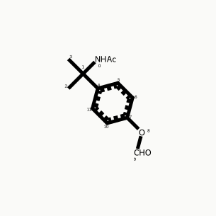 CC(=O)NC(C)(C)c1ccc(OC=O)cc1